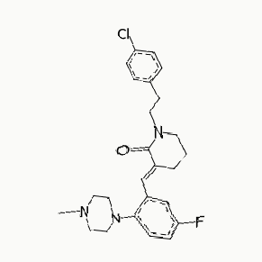 CN1CCN(c2ccc(F)cc2/C=C2\CCCN(CCc3ccc(Cl)cc3)C2=O)CC1